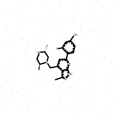 Cc1n[nH]c2nc(-c3ccc(O)cc3F)cc(CN3C[C@@H](C)NC[C@@H]3C)c12